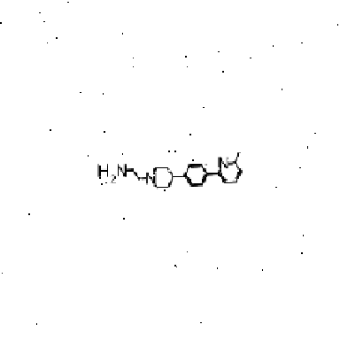 Cc1cccc(-c2[c]cc(C3CCN(CCN)CC3)cc2)n1